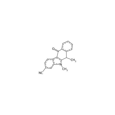 CC1c2ccccc2C(=O)c2c1n(C)c1cc(C#N)ccc21